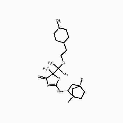 CN1CCC(CCOC(C(F)(F)F)(C(F)(F)F)C2(C)SC(N[C@H]3C[C@@H]4CC[C@H]3C4)=NC2=O)CC1